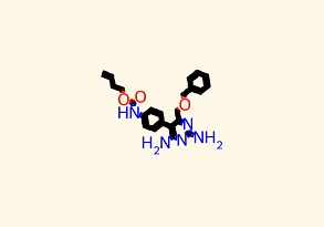 C=CCCOC(=O)Nc1ccc(-c2c(N)nc(N)nc2COCc2ccccc2)cc1